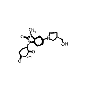 Cn1c(=O)n([C@@H]2CCC(=O)NC2=O)c2ccc(N3CC[C@@H](CO)C3)cc21